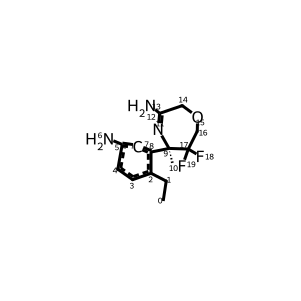 CCc1ccc(N)cc1[C@@]1(C)N=C(N)COCC1(F)F